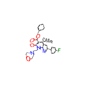 COc1c(C(=O)OCc2ccccc2)c(=O)n(CCN2CCOCC2)c2ncc(-c3ccc(F)cc3)cc12